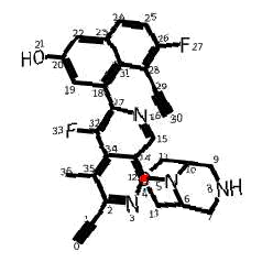 C#Cc1nc(N2C3CNCC2COC3)c2cnc(-c3cc(O)cc4ccc(F)c(C#C)c34)c(F)c2c1C